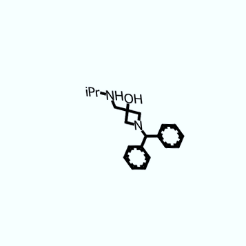 CC(C)NCC1(O)CN(C(c2ccccc2)c2ccccc2)C1